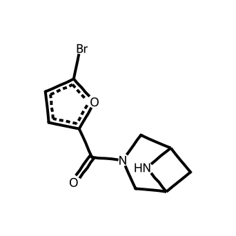 O=C(c1ccc(Br)o1)N1CC2CC(C1)N2